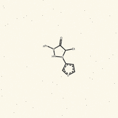 CCCN1NN(c2ccsc2)C(CC)C1=O